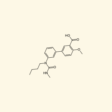 CCCCN(C(=O)NC)c1cccc(-c2ccc(OC)c(C(=O)O)c2)c1